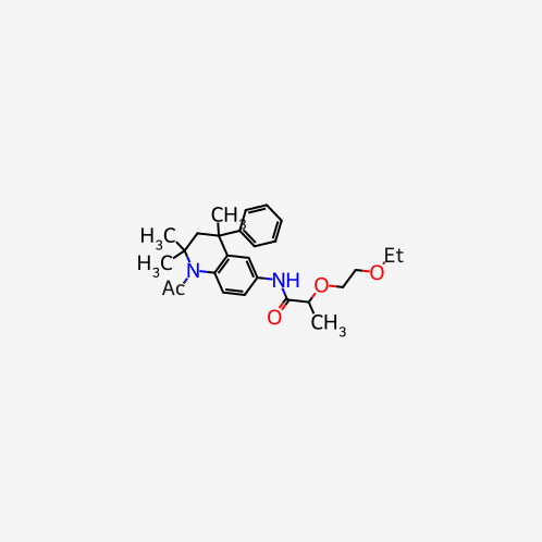 CCOCCOC(C)C(=O)Nc1ccc2c(c1)C(C)(c1ccccc1)CC(C)(C)N2C(C)=O